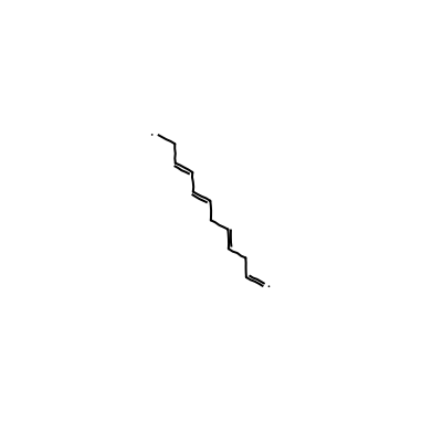 [CH]=CCC=CCC=CC=CC[CH2]